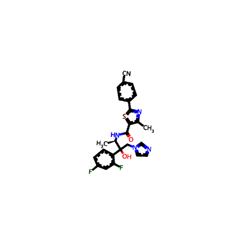 Cc1nc(-c2ccc(C#N)cc2)sc1C(=O)N[C@H](C)C(O)(Cn1ccnc1)c1ccc(F)cc1F